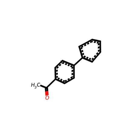 CC(=O)c1c[c]c(-c2ccccc2)cc1